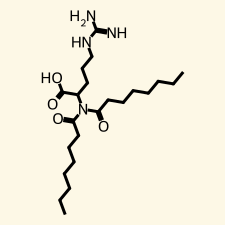 CCCCCCCC(=O)N(C(=O)CCCCCCC)C(CCCNC(=N)N)C(=O)O